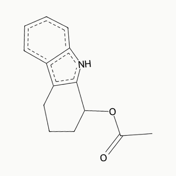 CC(=O)OC1CCCc2c1[nH]c1ccccc21